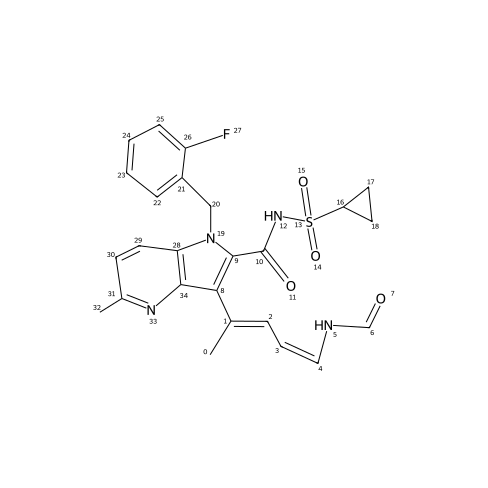 C/C(=C\C=C/NC=O)c1c(C(=O)NS(=O)(=O)C2CC2)n(Cc2ccccc2F)c2ccc(C)nc12